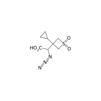 [N-]=[N+]=NC(C(=O)O)C1(C2CC2)CS(=O)(=O)C1